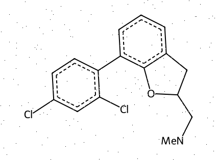 CNCC1Cc2cccc(-c3ccc(Cl)cc3Cl)c2O1